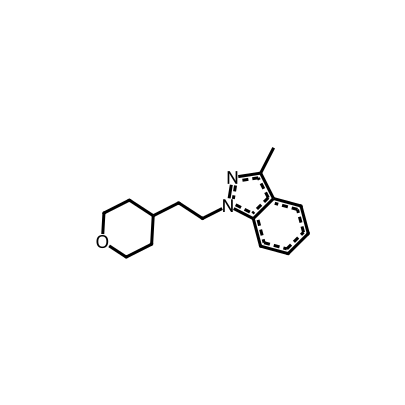 Cc1nn(CCC2CCOCC2)c2ccccc12